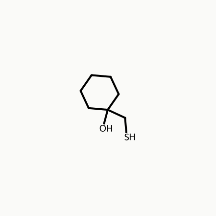 OC1(CS)CCCCC1